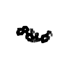 Cc1c(C(=O)Nc2ccnc(C(F)(F)F)c2)ncnc1-c1cccc2ncccc12